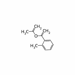 C=C(C)OC(=C)c1ccccc1C